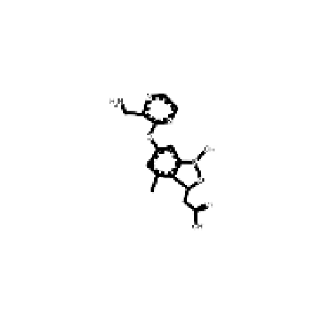 Cc1cc(Oc2nccnc2CN)cc2c1C(CC(=O)O)OB2O